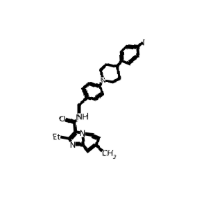 CCc1nc2cc(C)ccn2c1C(=O)NCc1ccc(N2CCC(c3ccc(I)cc3)CC2)cc1